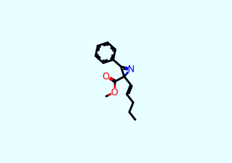 CCC/C=C/C1(C(=O)OC)N=C1c1ccccc1